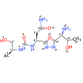 CC(=O)[C@@H](CO)NC(=O)N[C@@H](CC(N)=O)c1nnc([C@@H](N)C(C)O)o1